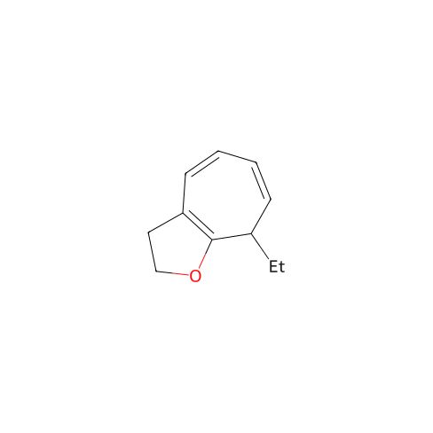 CCC1C=CC=CC2=C1OCC2